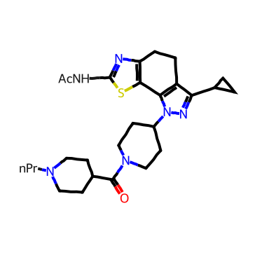 CCCN1CCC(C(=O)N2CCC(n3nc(C4CC4)c4c3-c3sc(NC(C)=O)nc3CC4)CC2)CC1